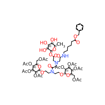 CC(=O)OC[C@H]1O[C@H](OCCN(CCO[C@H]2O[C@H](COC(C)=O)[C@@H](OC(C)=O)[C@H](OC(C)=O)[C@@H]2OC(C)=O)C(=O)CN(CC(=O)NCCCCCC(=O)OCc2ccccc2)CC(=O)O[C@@H]2O[C@@H](C)[C@@H](O)[C@@H](O)[C@@H]2O)[C@@H](OC(C)=O)[C@@H](OC(C)=O)[C@@H]1OC(C)=O